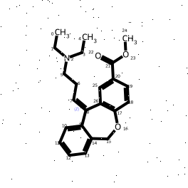 CCN(CC)CC/C=C1/c2ccccc2COc2ccc(C(=O)OC)cc21